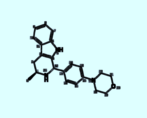 C[C@H]1Cc2c([nH]c3ccccc23)C(c2ccc(N3CCOCC3)cc2)N1